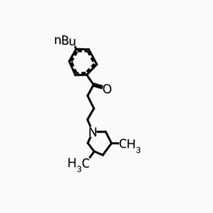 CCCCc1ccc(C(=O)CCCN2CC(C)CC(C)C2)cc1